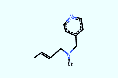 C/C=C/CN(CC)Cc1ccncc1